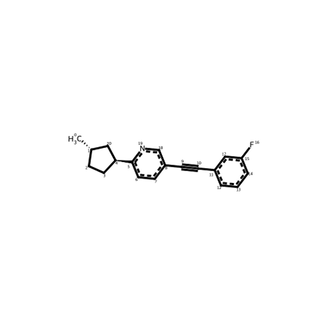 C[C@H]1CC[C@H](c2ccc(C#Cc3cccc(F)c3)cn2)C1